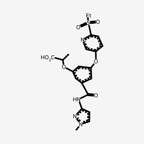 CCS(=O)(=O)c1ccc(Oc2cc(OC(C)C(=O)O)cc(C(=O)Nc3ccn(C)n3)c2)cn1